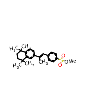 COS(=O)(=O)c1ccc(C=C(C)c2ccc3c(c2)C(C)(C)CCC3(C)C)cc1